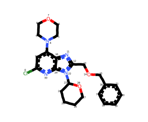 Clc1cc(N2CCOCC2)c2nc(COCc3ccccc3)n(C3CCCCO3)c2n1